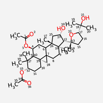 CC(=O)O[C@H]1CC2C3(CC[C@]4(C)[C@@H]([C@@]5(C)CC[C@@H](C(C)(C)O)O5)[C@@H](O)C[C@@]24C)C[C@@]32CC[C@H](OC(C)=O)C(C)(C)C12